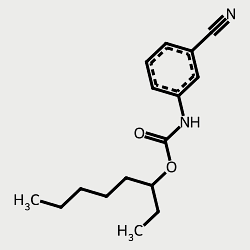 CCCCCC(CC)OC(=O)Nc1cccc(C#N)c1